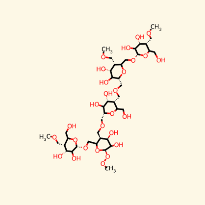 COC[C@@H]1C(CO)O[C@H](OCC2O[C@H](OOC)C(O)[C@H](O)[C@@H]2COC[C@H]2OC(CO)[C@@H](COC[C@H]3OC(CO[C@H]4OC(CO)[C@@H](COC)[C@@H](O)C4O)[C@@H](COC)[C@@H](O)C3O)[C@@H](O)C2O)C(O)[C@@H]1O